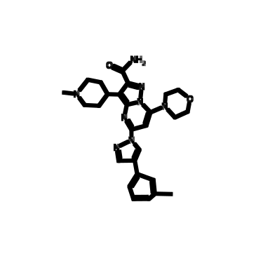 Cc1cccc(-c2cnn(-c3cc(N4CCOCC4)n4nc(C(N)=O)c(C5CCN(C)CC5)c4n3)c2)c1